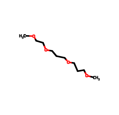 COCCCOCCCOCCOC